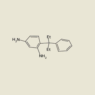 CCC(CC)(c1ccccc1)c1ccc(N)cc1N